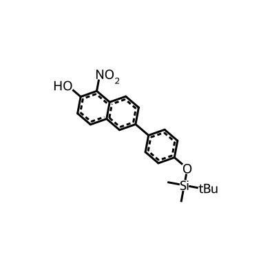 CC(C)(C)[Si](C)(C)Oc1ccc(-c2ccc3c([N+](=O)[O-])c(O)ccc3c2)cc1